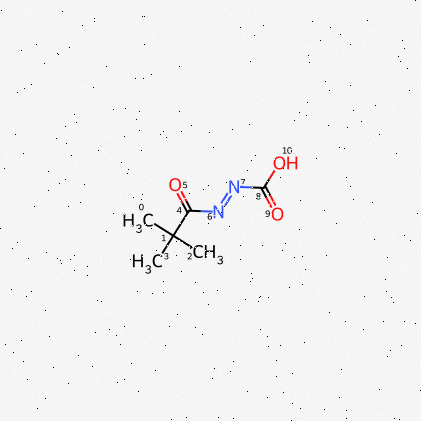 CC(C)(C)C(=O)N=NC(=O)O